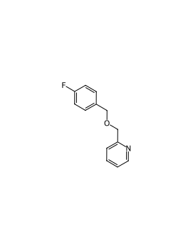 Fc1ccc(COCc2ccccn2)cc1